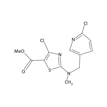 COC(=O)c1sc(N(C)Cc2ccc(Cl)nc2)nc1Cl